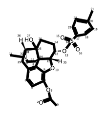 CC(=O)Oc1ccc2c3c1O[C@H]1[C@@H](OS(=O)(=O)c4ccc(C)cc4)CCC4(O)[C@@H](C2)N(C)CC[C@]314